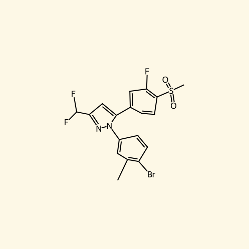 Cc1cc(-n2nc(C(F)F)cc2-c2ccc(S(C)(=O)=O)c(F)c2)ccc1Br